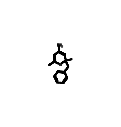 CC1=CC(N)=CC(C)(Cc2ccccc2)O1